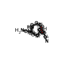 N#Cc1ccc(-c2ccc(C[C@@H]3NC(=O)[C@]4(Cc5cc#ccc5)CCCN(C4)C(=O)/C=C/C(=O)NCC[C@@H](C(=O)NCCOCCN)NC(=O)Cc4ccccc4CNC3=O)cc2)cc1